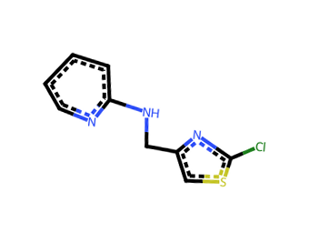 Clc1nc(CNc2ccccn2)cs1